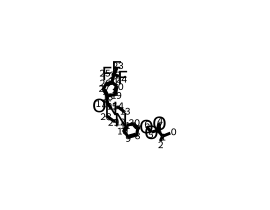 CC(C)C(=O)OOc1cccc(N2CCN(C(=O)c3ccc(C(F)(F)F)cc3)CC2)c1